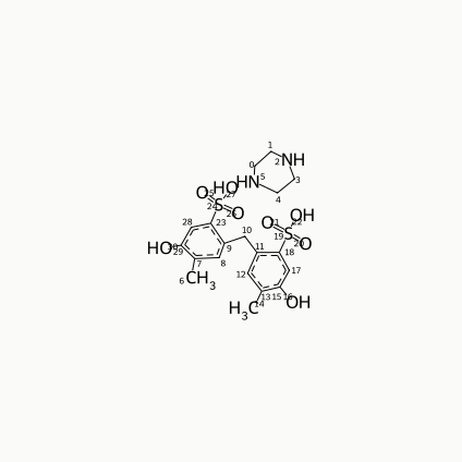 C1CNCCN1.Cc1cc(Cc2cc(C)c(O)cc2S(=O)(=O)O)c(S(=O)(=O)O)cc1O